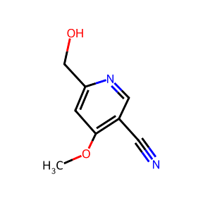 COc1cc(CO)ncc1C#N